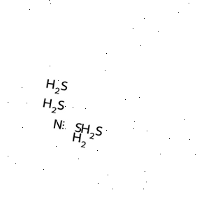 S.S.S.S.[N]